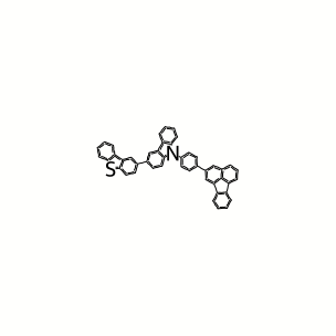 c1ccc2c(c1)-c1cccc3cc(-c4ccc(-n5c6ccccc6c6cc(-c7ccc8sc9ccccc9c8c7)ccc65)cc4)cc-2c13